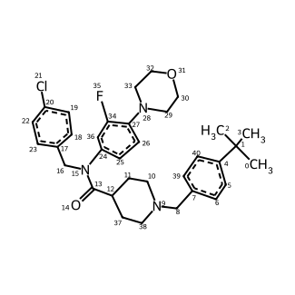 CC(C)(C)c1ccc(CN2CCC(C(=O)N(Cc3ccc(Cl)cc3)c3ccc(N4CCOCC4)c(F)c3)CC2)cc1